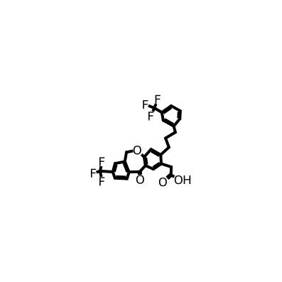 O=C(O)Cc1cc2c(cc1CCCc1cccc(C(F)(F)F)c1)OCc1cc(C(F)(F)F)ccc1C2=O